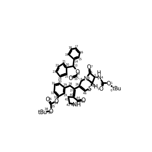 CC(C)(C)OC(=O)N[C@@H]1C(=O)N2[C@@H](C(=O)OC(c3ccccc3)c3ccccc3)C(C(Cc3cccc(OC(=O)OC(C)(C)C)c3)=C3CCNC3=O)=CS[C@H]12